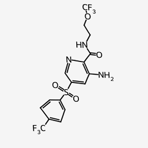 Nc1cc(S(=O)(=O)c2ccc(C(F)(F)F)cc2)cnc1C(=O)NCCOC(F)(F)F